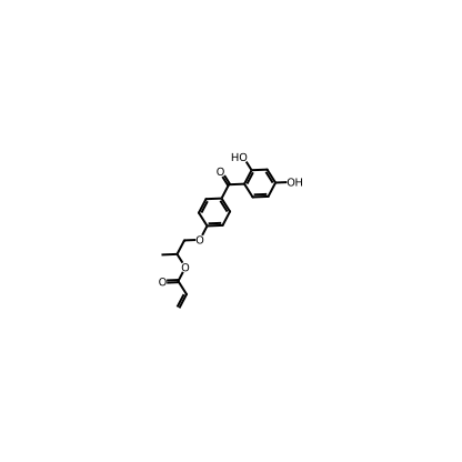 C=CC(=O)OC(C)COc1ccc(C(=O)c2ccc(O)cc2O)cc1